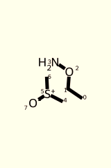 CCON.C[S+](C)[O-]